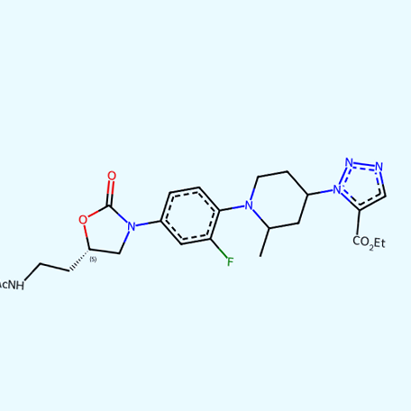 CCOC(=O)c1cnnn1C1CCN(c2ccc(N3C[C@H](CCNC(C)=O)OC3=O)cc2F)C(C)C1